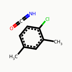 Cc1ccc(Cl)c(C)c1.N=C=O